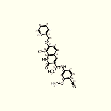 COc1cc(N[C@@H](C)c2cc3ccc(OCc4ccccn4)c(Cl)c3[nH]c2=O)ccc1C#N